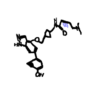 CN(C)C/C=C\C(=O)NC1CC(COc2cc(-c3ccc(O)cc3)cc3[nH]ncc23)C1